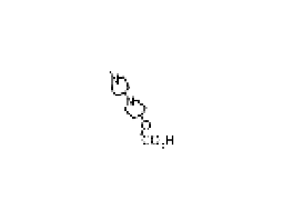 CN1CCC(N2CCC(OCC(=O)O)CC2)CC1